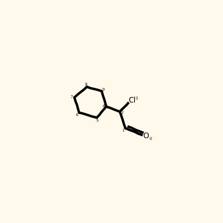 O=CC(Cl)C1CCCCC1